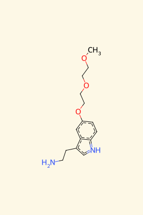 COCCOCCOc1ccc2[nH]cc(CCN)c2c1